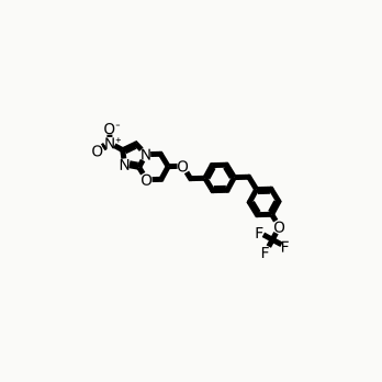 O=[N+]([O-])c1cn2c(n1)OCC(OCc1ccc(Cc3ccc(OC(F)(F)F)cc3)cc1)C2